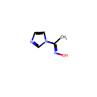 C/C(=N\O)n1ccnc1